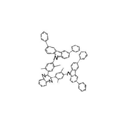 Cc1cc(-n2c3ccc(-c4ccccc4)cc3c3cc(-c4ccccc4)ccc32)c(C)cc1-c1nc2ccccc2nc1-c1cc(C)c(-n2c3ccc(-c4ccccc4)cc3c3cc(-c4ccccc4)ccc32)cc1C